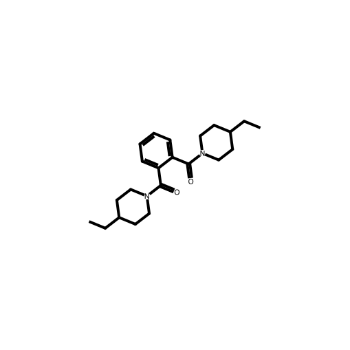 CCC1CCN(C(=O)c2ccccc2C(=O)N2CCC(CC)CC2)CC1